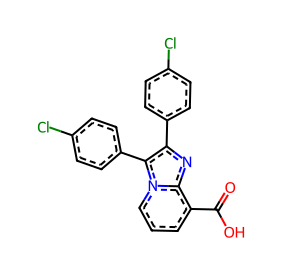 O=C(O)c1cccn2c(-c3ccc(Cl)cc3)c(-c3ccc(Cl)cc3)nc12